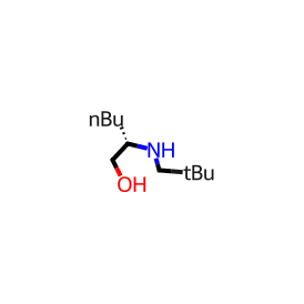 CCCC[C@@H](CO)NCC(C)(C)C